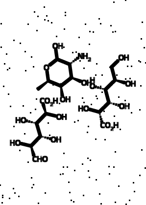 C[C@H]1OC(O)[C@H](N)[C@@H](O)[C@H]1O.O=C(O)[C@H](O)[C@@H](O)[C@H](O)[C@H](O)CO.O=C[C@@H](O)[C@@H](O)[C@H](O)[C@H](O)C(=O)O